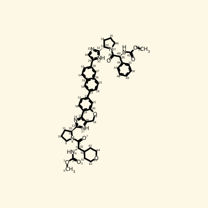 COC(=O)N[C@H](C(=O)N1CCC[C@H]1c1nc2c([nH]1)COc1cc(-c3ccc4cc(-c5cnc([C@@H]6CCCN6C(=O)[C@H](NC(=O)OC)c6ccccc6)[nH]5)ccc4c3)ccc1-2)C1CCOCC1